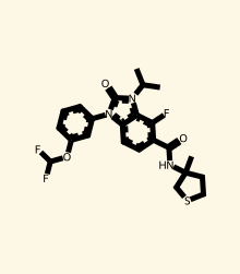 CC(C)n1c(=O)n(-c2cccc(OC(F)F)c2)c2ccc(C(=O)NC3(C)CCSC3)c(F)c21